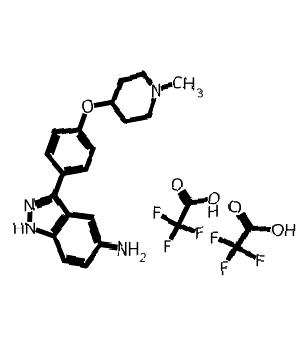 CN1CCC(Oc2ccc(-c3n[nH]c4ccc(N)cc34)cc2)CC1.O=C(O)C(F)(F)F.O=C(O)C(F)(F)F